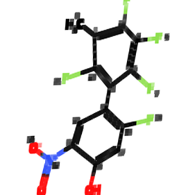 Cc1c(F)c(F)c(F)c(-c2cc([N+](=O)[O-])c(O)cc2F)c1F